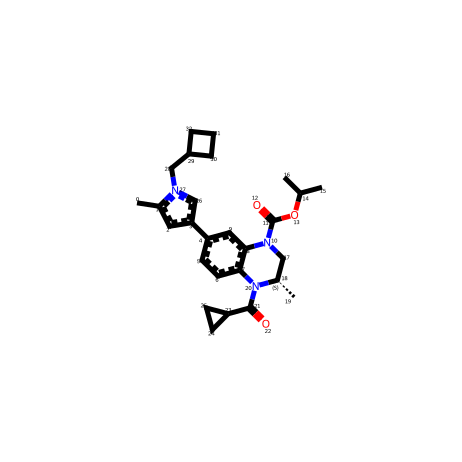 Cc1cc(-c2ccc3c(c2)N(C(=O)OC(C)C)C[C@H](C)N3C(=O)C2CC2)cn1CC1CCC1